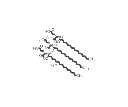 CCCCCCCCCCCCCCCC(=O)N[C@@H](CCC(=O)O)C(=O)[O-].CCCCCCCCCCCCCCCC(=O)N[C@@H](CCC(=O)O)C(=O)[O-].CCCCCCCCCCCCCCCC(=O)N[C@@H](CCC(=O)O)C(=O)[O-].[Fe+3]